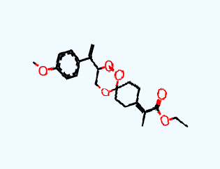 C=C(c1ccc(OC)cc1)C1COC2(CCC(=C(C)C(=O)OCC)CC2)OO1